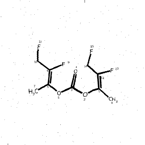 CC(OC(=O)OC(C)=C(F)CF)=C(F)CF